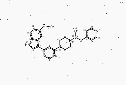 CC(C)Oc1cc2c(-c3ccnc(N4CCN([S+]([O-])Cc5ccncc5)CC4)c3)n[nH]c2cn1